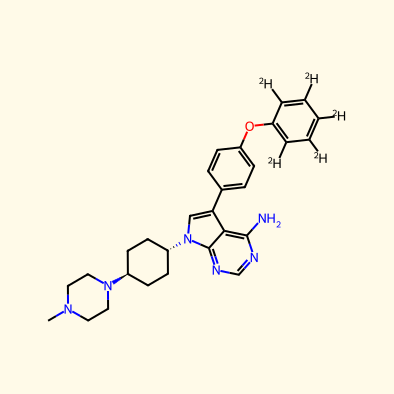 [2H]c1c([2H])c([2H])c(Oc2ccc(-c3cn([C@H]4CC[C@H](N5CCN(C)CC5)CC4)c4ncnc(N)c34)cc2)c([2H])c1[2H]